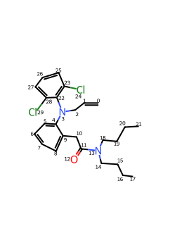 C=CCN(c1ccccc1CC(=O)N(CCCC)CCCC)c1c(Cl)cccc1Cl